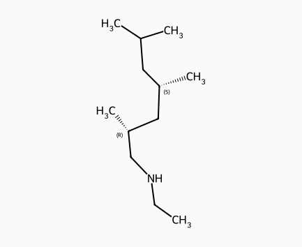 CCNC[C@H](C)C[C@@H](C)CC(C)C